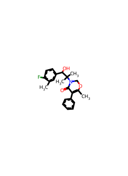 CC1=C(c2ccccc2)C(=O)N(C(C)(C)C(O)c2ccc(F)c(C)c2)CO1